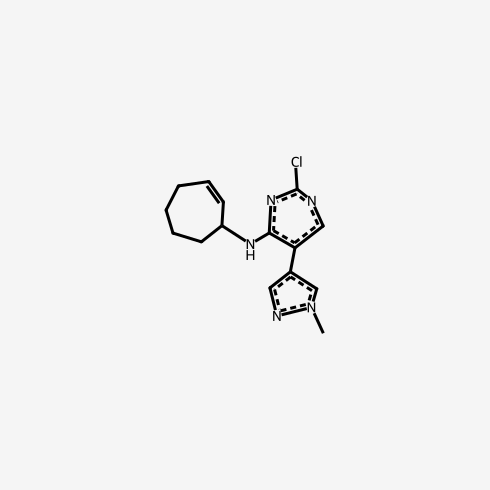 Cn1cc(-c2cnc(Cl)nc2NC2C=CCCCC2)cn1